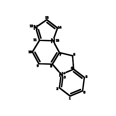 c1cc[n+]2c(c1)Cc1c-2ccc2nccn12